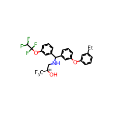 CCc1cccc(Oc2cccc(C(NC[C@@H](O)C(F)(F)F)c3cccc(OC(F)(F)C(F)F)c3)c2)c1